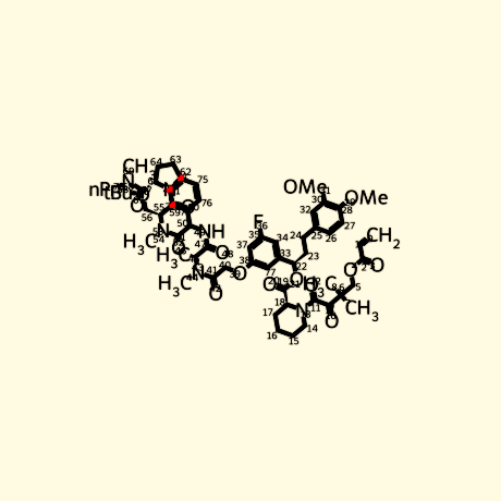 C=CC(=O)OCC(C)(C)C(=O)C(=O)N1CCCC[C@H]1C(=O)O[C@H](CCc1ccc(OC)c(OC)c1)c1cc(F)cc(OCC(=O)N(C)[C@@H](C)C(=O)NC(C(=O)N(C)[C@@H](COC(C)(C)C)C(=O)N2CCC[C@H]2C(=O)N(C)CCC)c2ccccc2)c1